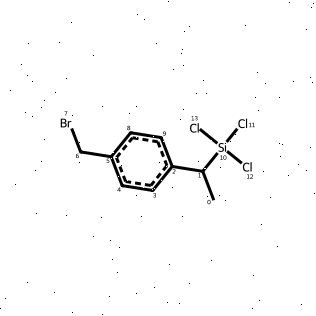 CC(c1ccc(CBr)cc1)[Si](Cl)(Cl)Cl